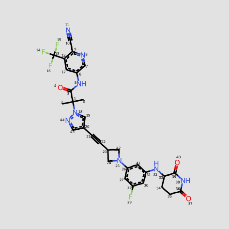 CC(C)(C(=O)Nc1cnc(C#N)c(C(F)(F)F)c1)n1cc(C#CC2CN(c3cc(F)cc(NC4CCC(=O)NC4=O)c3)C2)cn1